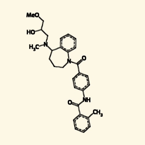 COCC(O)CN(C)C1CCCN(C(=O)c2ccc(NC(=O)c3ccccc3C)cc2)c2ccccc21